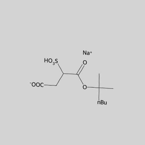 CCCCC(C)(C)OC(=O)C(CC(=O)[O-])S(=O)(=O)O.[Na+]